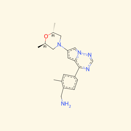 Cc1cc(-c2ncnn3cc(N4C[C@@H](C)O[C@H](C)C4)cc23)ccc1CN